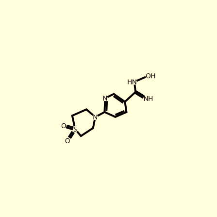 N=C(NO)c1ccc(N2CCS(=O)(=O)CC2)nc1